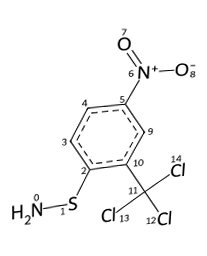 NSc1ccc([N+](=O)[O-])cc1C(Cl)(Cl)Cl